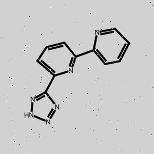 c1ccc(-c2cccc(-c3nn[nH]n3)n2)nc1